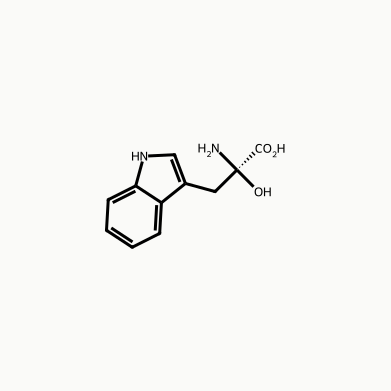 N[C@@](O)(Cc1c[nH]c2ccccc12)C(=O)O